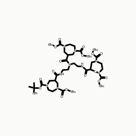 CCCC(C)(C)OC(=O)N1CCN(C(=O)OC(C)(C)C)CC(C(=O)NCCN(CCNC(=O)C2CN(C(=O)OC(C)(C)C)CCN(C(=O)OC(C)(C)C)C2)C(=O)C2CN(C(=O)OC(C)(C)C)CCN(C(=O)OC(C)(C)C)C2)C1